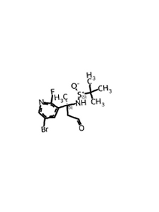 CC(C)(C)[S@@+]([O-])N[C@@](C)(CC=O)c1cc(Br)cnc1F